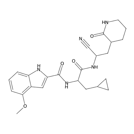 COc1cccc2[nH]c(C(=O)NC(CC3CC3)C(=O)NC(C#N)CC3CCCNC3=O)cc12